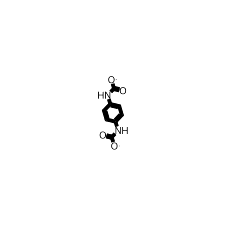 [O]C(=O)Nc1ccc(NC([O])=O)cc1